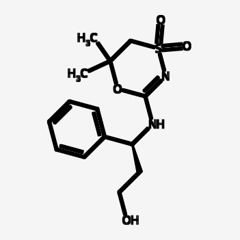 CC1(C)CS(=O)(=O)N=C(N[C@@H](CCO)c2ccccc2)O1